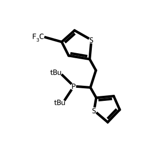 CC(C)(C)P(C(Cc1cc(C(F)(F)F)cs1)c1cccs1)C(C)(C)C